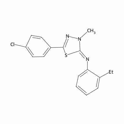 CCc1ccccc1N=c1sc(-c2ccc(Cl)cc2)nn1C